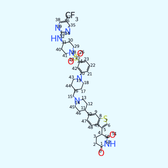 O=C1CCC(c2csc3cc(C4CCN(CC5CCN(c6cccc(S(=O)(=O)N7CCC(Nc8ncc(C(F)(F)F)cn8)CC7)c6)CC5)CC4)ccc23)C(=O)N1